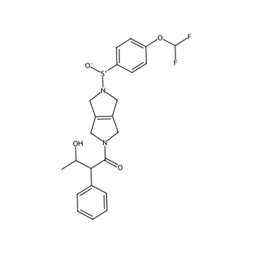 CC(O)C(C(=O)N1CC2=C(C1)CN([S+]([O-])c1ccc(OC(F)F)cc1)C2)c1ccccc1